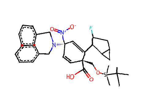 CC(C)(C)[Si](C)(C)OC[C@@]1(C(=O)O)C=C[C@@](N(Cc2ccccc2)Cc2ccccc2)([N+](=O)[O-])C=C1C1C(F)CC2CC21